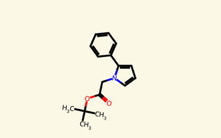 CC(C)(C)OC(=O)Cn1cccc1-c1ccccc1